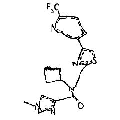 Cn1cnc(C(=O)N(Cc2nc(-c3ccc(C(F)(F)F)nc3)cs2)C2CCC2)c1